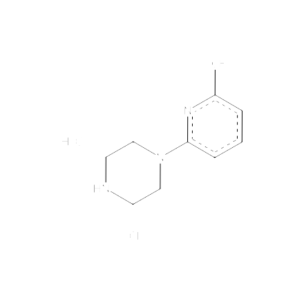 C[C@@H]1CN(c2cccc(C(F)(F)F)n2)C[C@H](C)N1